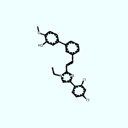 CCn1cc(-c2ccc(Cl)cc2Cl)nc1C=Cc1cccc(-c2ccc(OC)c(O)c2)c1